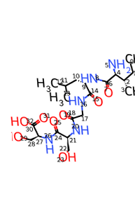 CC[C@H](C)[C@H](N)C(=O)N[C@@H](CC(C)C)C(=O)NCC(=O)N[C@@H](CO)C(=O)N[C@@H](CO)C(=O)O